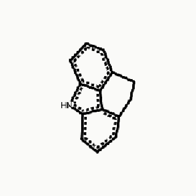 c1cc2c3c(c1)[nH]c1cccc(c13)CC2